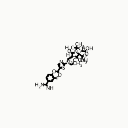 CCN(CCC(=O)N(C(C)(C)C)[C@@](CC(=O)O)(C(=O)O)C(C)(C)C)c1ncc(C(=O)Oc2ccc(C(=N)N)cc2F)s1